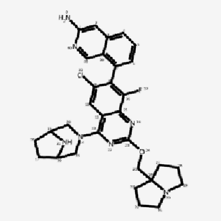 Nc1cc2cccc(-c3c(Cl)cc4c(N5CC6CCC(C5)N6)nc(OCC56CCCN5CCC6)nc4c3F)c2cn1